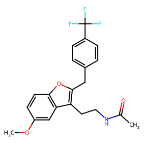 COc1ccc2oc(Cc3ccc(C(F)(F)F)cc3)c(CCNC(C)=O)c2c1